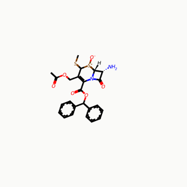 CSC1C(COC(C)=O)=C(C(=O)OC(c2ccccc2)c2ccccc2)N2C(=O)[C@@H](N)[C@H]2[S+]1[O-]